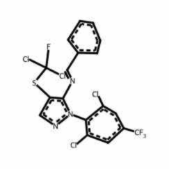 FC(Cl)(Cl)Sc1cnn(-c2c(Cl)cc(C(F)(F)F)cc2Cl)c1N=Cc1ccccc1